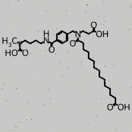 C[C@@H](CCCCNC(=O)c1ccc(CN(CCC(=O)O)C(=O)CCCCCCCCCCCCCC(=O)O)cc1)C(=O)O